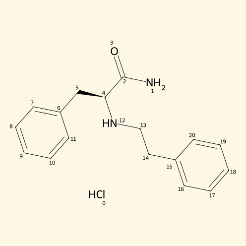 Cl.NC(=O)[C@H](Cc1ccccc1)NCCc1ccccc1